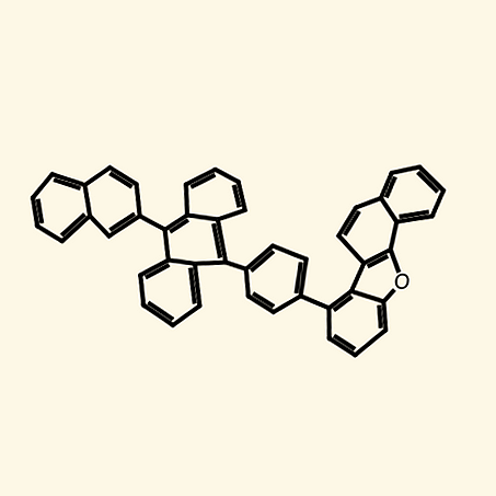 c1ccc2cc(-c3c4ccccc4c(-c4ccc(-c5cccc6oc7c8ccccc8ccc7c56)cc4)c4ccccc34)ccc2c1